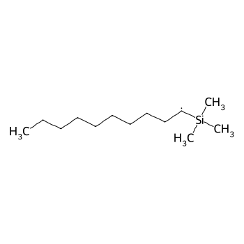 CCCCCCCCC[CH][Si](C)(C)C